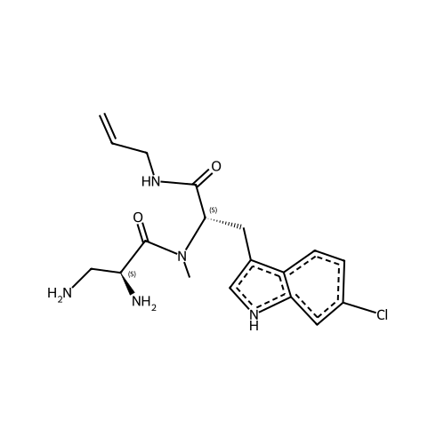 C=CCNC(=O)[C@H](Cc1c[nH]c2cc(Cl)ccc12)N(C)C(=O)[C@@H](N)CN